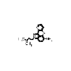 CN(C)CCn1nc2c3c(c(N)ccc31)Sc1cccnc1-2